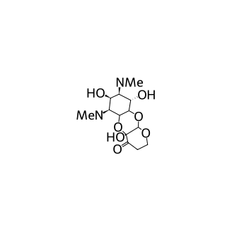 CN[C@@H]1[C@H](O)[C@H](NC)C2O[C@@]3(O)C(=O)CCOC3OC2[C@H]1O